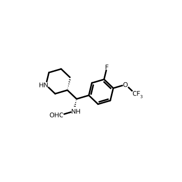 O=CN[C@@H](c1ccc(OC(F)(F)F)c(F)c1)[C@H]1CCCNC1